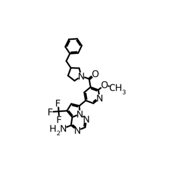 COc1ncc(-c2cc(C(F)(F)F)c3c(N)ncnn23)cc1C(=O)N1CCC(Cc2ccccc2)C1